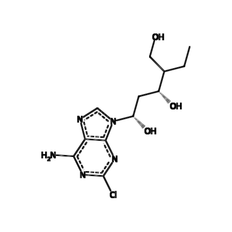 CCC(CO)[C@H](O)C[C@H](O)n1cnc2c(N)nc(Cl)nc21